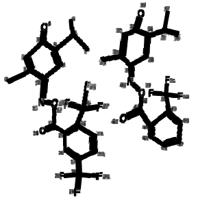 CC1=CC(=O)C(C(C)C)=CC1=NOC(=O)c1cc(C(F)(F)F)ccc1C(F)(F)F.CC1=CC(=O)C(C(C)C)=CC1=NOC(=O)c1ccccc1C(F)(F)F